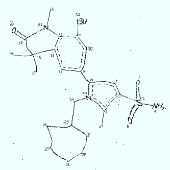 Cc1c(S(N)(=O)=O)cc(-c2cc(C(C)(C)C)c3c(c2)C(C)(C)C(=O)N3C)n1CC1CCCCC1